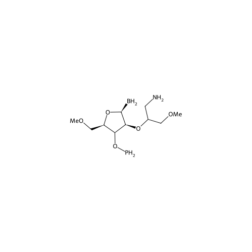 B[C@@H]1O[C@H](COC)C(OP)[C@@H]1OC(CN)COC